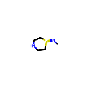 CN=S1CCNCC1